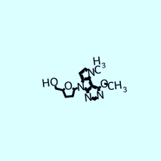 COc1ncnc2c1c1c(ccn1C)n2C1CCC(CO)O1